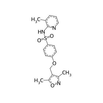 Cc1cccnc1NS(=O)(=O)c1ccc(OCc2c(C)noc2C)cc1